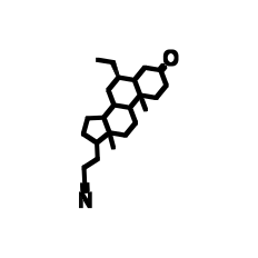 CC[C@@H]1CC2C3CCC(CCC#N)C3(C)CCC2C2(C)CCC(=O)CC12